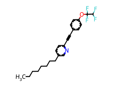 CCCCCCCCc1ccc(C#Cc2ccc(OC(F)(F)C(F)F)cc2)nc1